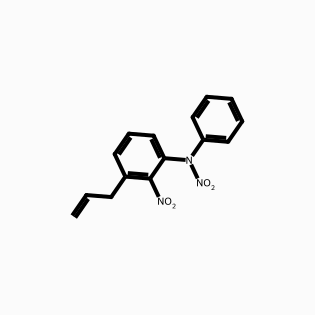 C=CCc1cccc(N(c2ccccc2)[N+](=O)[O-])c1[N+](=O)[O-]